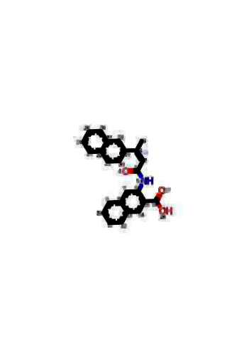 C/C(=C/C(=O)Nc1cc2ccccc2cc1C(=O)O)c1ccc2ccccc2c1